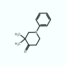 CC1(C)CN(c2ccccc2)CCC1=O